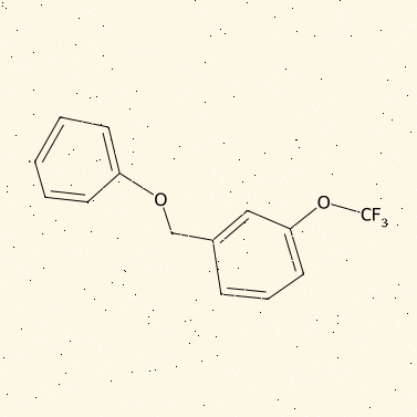 FC(F)(F)Oc1cccc(COc2cc[c]cc2)c1